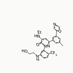 CCNc1cc(-c2cc(C)cc(-c3cnco3)c2)nn(-c2cc(NCCO)ccc2C(F)(F)F)c1=O